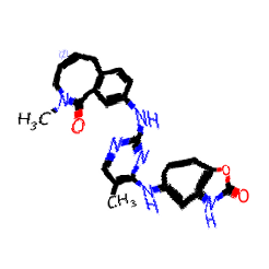 Cc1cnc(Nc2ccc3c(c2)C(=O)N(C)C/C=C\C3)nc1Nc1ccc2oc(=O)[nH]c2c1